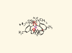 Cc1cc(C)c(C(=O)P(=O)(C(=O)c2c(C)cc(C)cc2C(C)(C)C)c2ccccc2)c(C(C)(C)C)c1